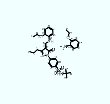 CCCC1=NN(c2ccc(S(=O)(=O)NC(C)(C)C)cc2)C(=O)/C1=C\Nc1ccccc1OCC.CCOc1ccccc1N